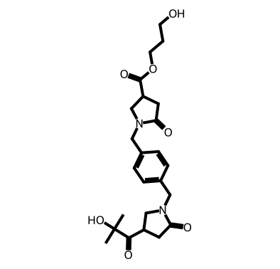 CC(C)(O)C(=O)C1CC(=O)N(Cc2ccc(CN3CC(C(=O)OCCCO)CC3=O)cc2)C1